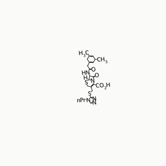 CCCn1cnnc1SCC1=C(C(=O)O)N2C(=O)C(NC(=O)CC3=CC(C)C=C(C)C3)[C@@H]2SC1